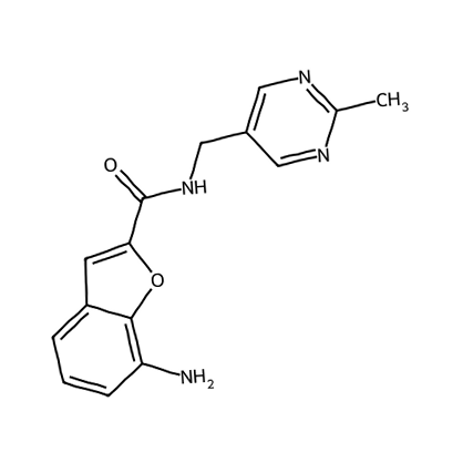 Cc1ncc(CNC(=O)c2cc3cccc(N)c3o2)cn1